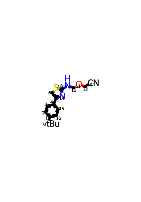 CC(C)(C)c1ccc(-c2csc(NCOCC#N)n2)cc1